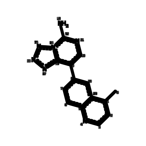 Cc1ccnc2ccc(-c3cnc(N)n4nnnc34)cc12